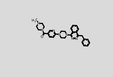 CN1CCN(C(=O)c2ccc(N3CCN(c4nnc(Cc5ccccc5)c5ccccc45)CC3)nc2)CC1